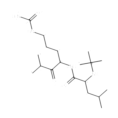 CC(C)CC(NC(C)(C)C)C(=O)NC(CCCNC(N)=O)C(=O)C(C)C